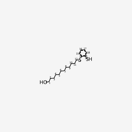 OCCCCCCCCCCCCSc1ccccc1S